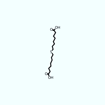 O=C(O)CCCCCCCSCCCCCCCC(=O)O